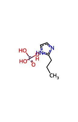 CCCc1ncc[nH]1.O=P(O)(O)O